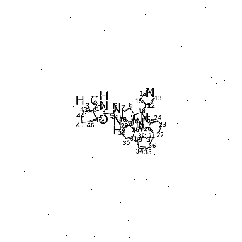 CC(NC(=O)c1nc2cc3c(-c4ccncc4)nn(C(c4ccccc4)(c4ccccc4)c4ccccc4)c3cc2[nH]1)c1ccccc1